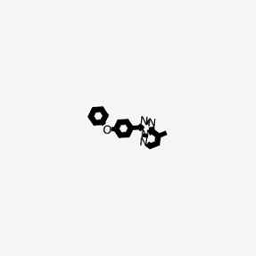 Cc1ccnn2c(-c3ccc(Oc4ccccc4)cc3)nnc12